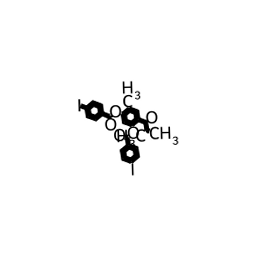 Cc1cc(C(=O)C(C)C)c(OC(=O)c2ccc(I)cc2)cc1OC(=O)c1ccc(I)cc1